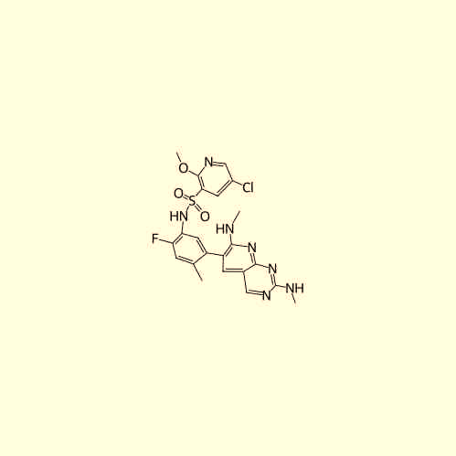 CNc1ncc2cc(-c3cc(NS(=O)(=O)c4cc(Cl)cnc4OC)c(F)cc3C)c(NC)nc2n1